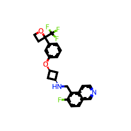 Fc1ccc2cnccc2c1CN[C@H]1C[C@H](Oc2cccc(C3(C(F)(F)F)CCO3)c2)C1